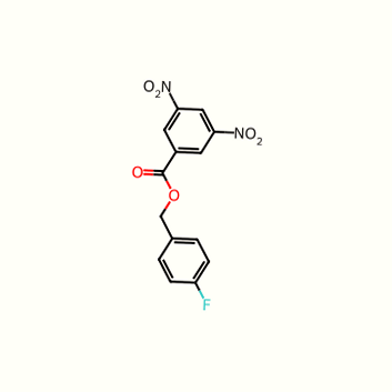 O=C(OCc1ccc(F)cc1)c1cc([N+](=O)[O-])cc([N+](=O)[O-])c1